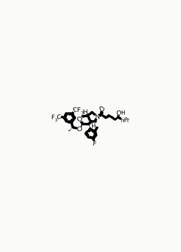 CCCC(O)CCCC(=O)N1C[C@H]2CO[C@H](O[C@H](C)c3cc(C(F)(F)F)cc(C(F)(F)F)c3)[C@@H](c3ccc(F)cc3C)[C@@H]2C1